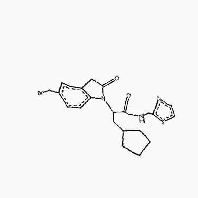 O=C(Nc1nccs1)C(CC1CCCC1)N1C(=O)Cc2cc(Br)ccc21